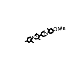 COc1ccc(-[n+]2ccc(-c3cc[n+](-c4ccc(C)cc4C)cc3C)cc2)c(C)c1